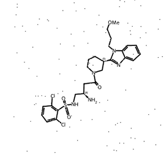 COCCCn1c([C@@H]2CCCN(C(=O)C[C@@H](N)CNS(=O)(=O)c3c(Cl)cccc3Cl)C2)nc2ccccc21